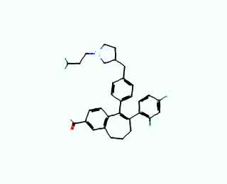 O=C(O)c1ccc2c(c1)CCCC(c1ccc(F)cc1Cl)=C2c1ccc(CC2CCN(CCC(F)F)C2)cc1